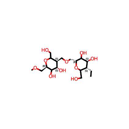 CC[C@@H]1C(CO)O[C@H](COC[C@@H]2C(CO)O[C@H](COC)C(O)[C@H]2O)C(O)[C@H]1O